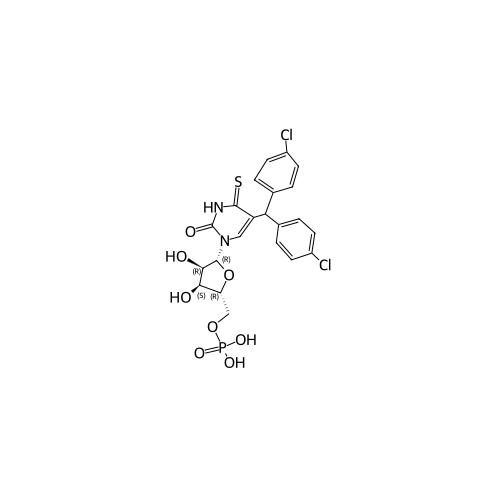 O=c1[nH]c(=S)c(C(c2ccc(Cl)cc2)c2ccc(Cl)cc2)cn1[C@@H]1O[C@H](COP(=O)(O)O)[C@@H](O)[C@H]1O